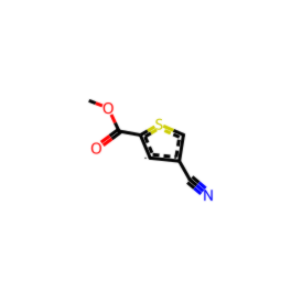 COC(=O)c1[c]c(C#N)cs1